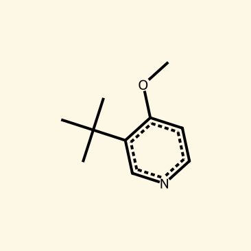 COc1ccncc1C(C)(C)C